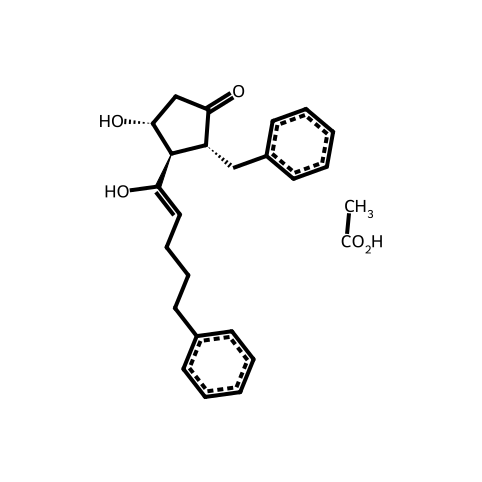 CC(=O)O.O=C1C[C@@H](O)[C@H](C(O)=CCCCc2ccccc2)[C@H]1Cc1ccccc1